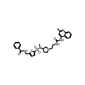 Cc1cc(NC(=O)NCCN2CCC(N(C)S(=O)(=O)c3ccc(CNC(=O)c4ccccc4)s3)C2)c2ccccc2n1